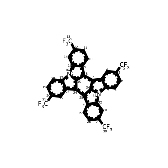 FC(F)(F)c1ccc2c(c1)c1c3c4ccc(C(F)(F)F)cc4n4c5ccc(C(F)(F)F)cc5c(c5c6ccc(C(F)(F)F)cc6n2c15)c34